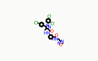 Cc1c(C(=O)Nc2cccc(C(=O)NCc3ncon3)c2)nn(-c2ccc(Cl)cc2Cl)c1-c1ccc(Cl)cc1